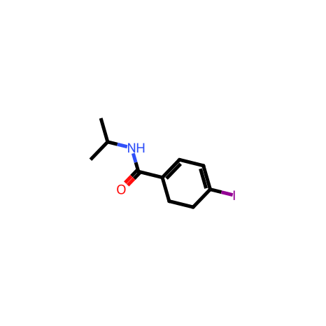 CC(C)NC(=O)C1=CC=C(I)CC1